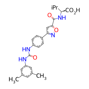 Cc1cc(C)cc(NC(=O)Nc2ccc(-c3cc(C(=O)N[C@H](C(=O)O)C(C)C)on3)cc2)c1